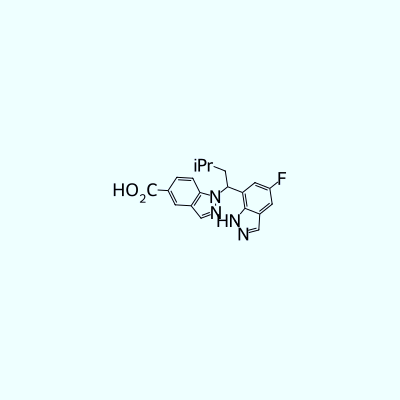 CC(C)CC(c1cc(F)cc2cn[nH]c12)n1ncc2cc(C(=O)O)ccc21